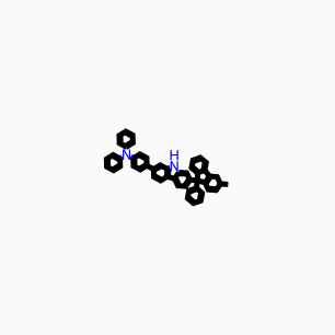 CC1C=CC2=C(C1)c1ccccc1C2(c1ccccc1)c1ccc2c(c1)[nH]c1cc(-c3ccc(N(c4ccccc4)c4ccccc4)cc3)ccc12